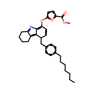 CCCCCCCc1ccc(CC2C=CC(Oc3ccc(C(=O)OC)o3)=C3N=C4CCCCC4=C32)cc1